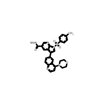 CNC(=O)c1cnc2c(c1)c(-c1ccc3nccc(N4CCOCC4)c3c1)cn2S(=O)(=O)c1ccc(C)cc1